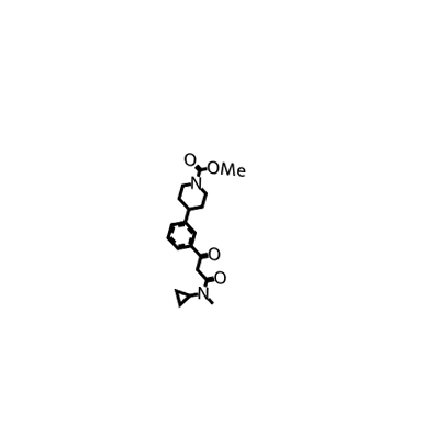 COC(=O)N1CCC(c2cccc(C(=O)CC(=O)N(C)C3CC3)c2)CC1